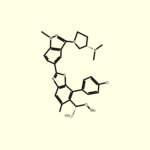 Cc1cc2nc(-c3ccc4c(c3)c(N3CC[C@H](N(C)C)C3)nn4C)sc2c(-c2ccc(Cl)cc2)c1[C@H](OC(C)(C)C)C(=O)O